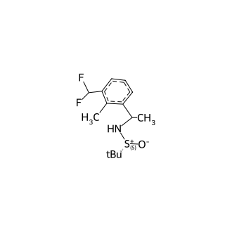 Cc1c(C(F)F)cccc1C(C)N[S@+]([O-])C(C)(C)C